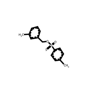 Cc1ccc(S(=O)(=S)OCc2cccc(C)c2)cc1